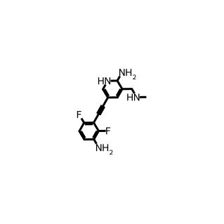 CNCC1=CC(C#Cc2c(F)ccc(N)c2F)=CNC1N